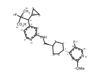 COc1cc([C@H]2CC[C@H](CNc3cc(C(C4CC4)C(C)(F)C(=O)O)ccn3)CC2)c(F)cn1